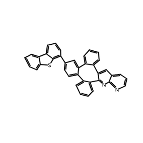 c1ccc2c(c1)-c1cc(-c3cccc4c3sc3ccccc34)ccc1-c1ccccc1-c1nc3ncccc3cc1-2